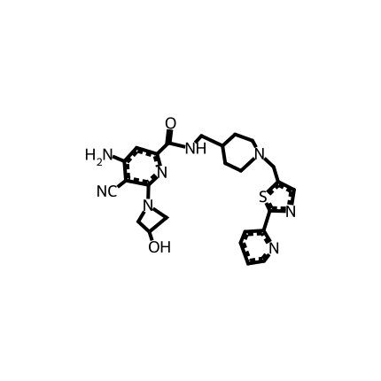 N#Cc1c(N)cc(C(=O)NCC2CCN(Cc3cnc(-c4ccccn4)s3)CC2)nc1N1CC(O)C1